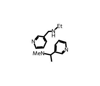 CCNCc1cccnc1.CNC(C)c1cccnc1